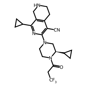 N#Cc1c(N2CCN(C(=O)CC(F)(F)F)[C@H](C3CC3)C2)nc(C2CC2)c2c1CCNC2